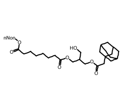 CCCCCCCCCOC(=O)CCCCCCC(=O)OCC(CO)COC(=O)CC12CC3CC(CC(C3)C1)C2